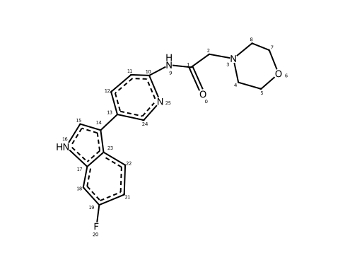 O=C(CN1CCOCC1)Nc1ccc(-c2c[nH]c3cc(F)ccc23)cn1